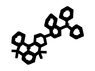 CC1(C)C2=C(C=CC(c3ccc(N(c4ccccc4)c4ccccc4)c4ccccc34)C2)N2c3ccccc3C(C)(C)c3cccc1c32